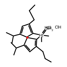 CCCC1=[C]([Hf]([CH3])([CH3])(=[SiH2])[C]2=C(CCC)C=C(C(C)C)C2)CC(C(C)C)=C1.Cl.Cl